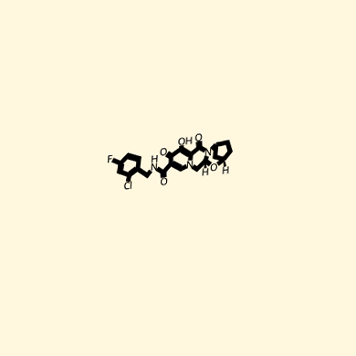 O=C(NCc1ccc(F)cc1Cl)c1cn2c(c(O)c1=O)C(=O)N1C3CC[C@@H](C3)O[C@@H]1C2